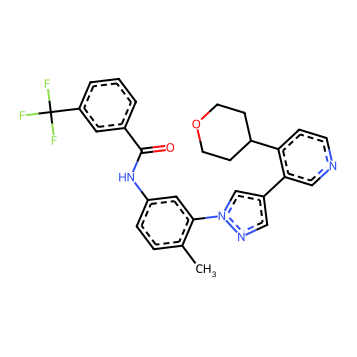 Cc1ccc(NC(=O)c2cccc(C(F)(F)F)c2)cc1-n1cc(-c2cnccc2C2CCOCC2)cn1